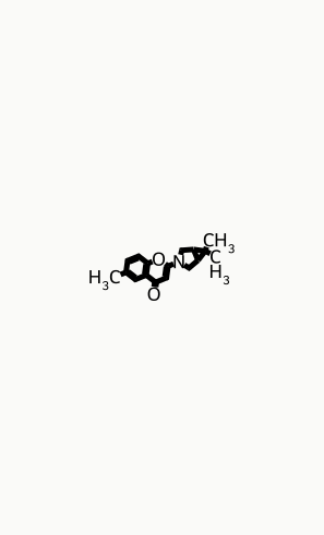 Cc1ccc2oc(N3CC4C(C3)C4(C)C)cc(=O)c2c1